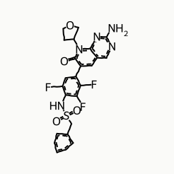 Nc1ncc2cc(-c3cc(F)c(NS(=O)(=O)Cc4ccccc4)c(F)c3F)c(=O)n(C3CCOC3)c2n1